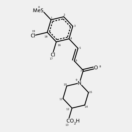 CSc1ccc(C=CC(=O)N2CCC(C(=O)O)CC2)c(Cl)c1Cl